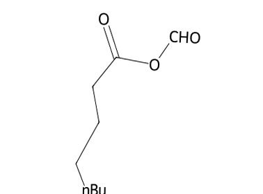 CCCCCCCC(=O)OC=O